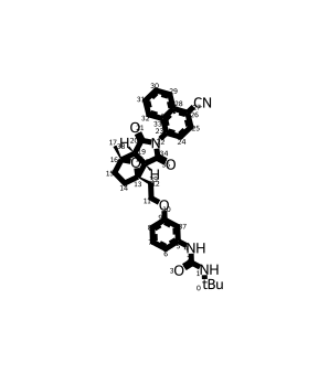 CC(C)(C)NC(=O)Nc1cccc(OCC[C@@]23CC[C@@](C)(O2)[C@H]2C(=O)N(c4ccc(C#N)c5ccccc45)C(=O)[C@H]23)c1